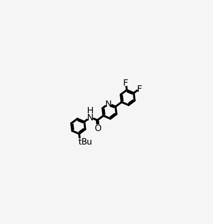 CC(C)(C)c1cccc(NC(=O)c2ccc(-c3ccc(F)c(F)c3)nc2)c1